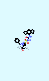 CC(C)(O)c1cc(S(=O)(=O)NC(=O)Nc2c3c(cc4c2CCC4)CCC3)nn1Cc1ccccc1